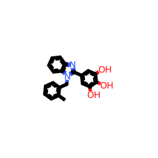 Cc1ccccc1Cn1c(-c2cc(O)c(O)c(O)c2)nc2ccccc21